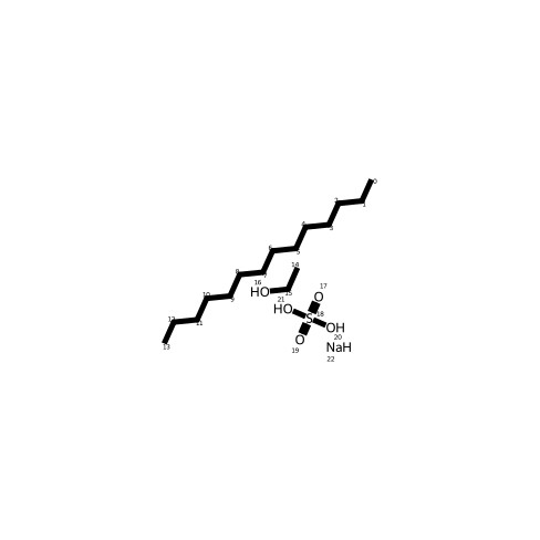 CCCCCCCCCCCCCC.CCO.O=S(=O)(O)O.[NaH]